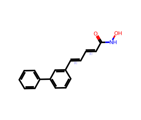 O=C(/C=C/C=C/c1cccc(-c2ccccc2)c1)NO